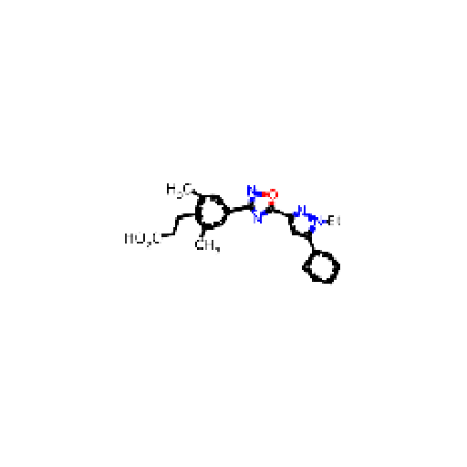 CCn1nc(-c2nc(-c3cc(C)c(CCC(=O)O)c(C)c3)no2)cc1-c1ccccc1